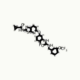 O=C(NCc1cccc(OC(F)(F)F)c1)Nc1cc(Oc2ccc3nc(NC(=O)C4CC4)sc3n2)ccc1F